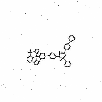 CC1(C)c2ccccc2C2(c3ccccc3-c3cc(-c4ccc(-c5nc(-c6ccccc6)cc(-c6ccc(-c7ccccc7)cc6)n5)cc4)ccc32)c2ccccc21